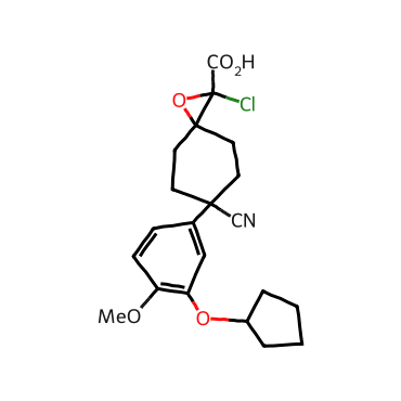 COc1ccc(C2(C#N)CCC3(CC2)OC3(Cl)C(=O)O)cc1OC1CCCC1